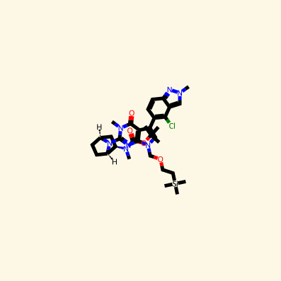 CN(C(=O)OC(C)(C)C)[C@@H]1C[C@@H]2CC[C@H]1N2c1nc2c(c(-c3ccc4nn(C)cc4c3Cl)cn2COCC[Si](C)(C)C)c(=O)n1C